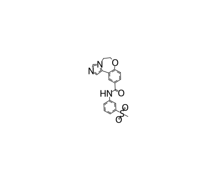 CS(=O)(=O)c1cccc(NC(=O)c2ccc3c(c2)-c2cncn2CCO3)c1